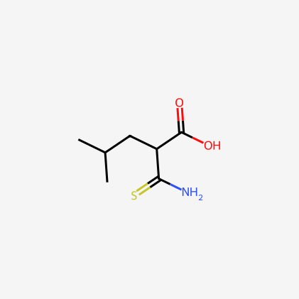 CC(C)CC(C(=O)O)C(N)=S